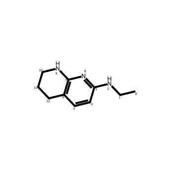 CCNc1ccc2c(n1)NCCC2